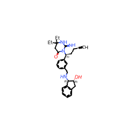 C#CCC[C@@H](c1cccc(CN[C@@H]2c3ccccc3C[C@H]2O)c1)N1C(=N)NC(CC)(CC)CC1=O